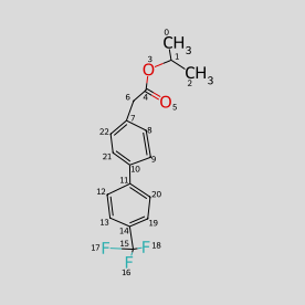 CC(C)OC(=O)Cc1ccc(-c2ccc(C(F)(F)F)cc2)cc1